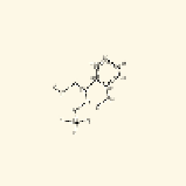 CCCN(CCC(C)(C)C)c1ncncc1CC